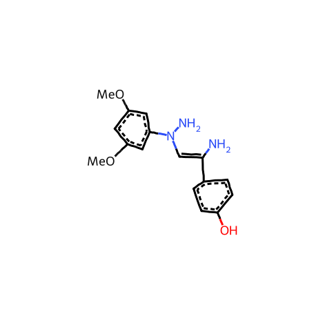 COc1cc(OC)cc(N(N)/C=C(\N)c2ccc(O)cc2)c1